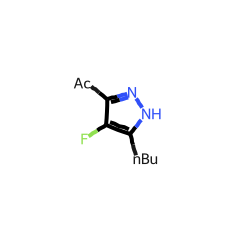 CCCCc1[nH]nc(C(C)=O)c1F